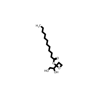 CCCCCCCCCCCC(=O)OC1(C(O)CO)CCO1